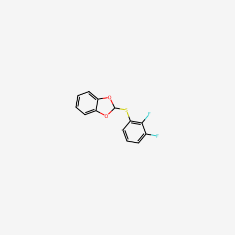 Fc1cc[c]c(SC2Oc3ccccc3O2)c1F